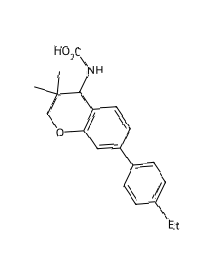 CCc1ccc(-c2ccc3c(c2)OCC(C)(C)C3NC(=O)O)cc1